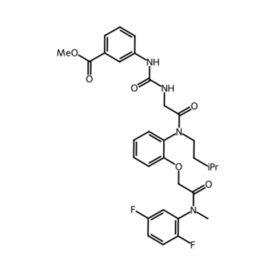 COC(=O)c1cccc(NC(=O)NCC(=O)N(CCC(C)C)c2ccccc2OCC(=O)N(C)c2cc(F)ccc2F)c1